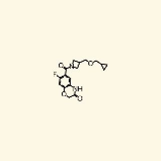 O=C1COc2cc(F)c(C(=O)N3CC(COCC4CC4)C3)cc2N1